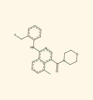 Cc1cccc2c(Nc3ccccc3CF)ncc(C(=O)N3CCOCC3)c12